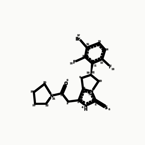 O=C(Cc1[nH]c(=S)n2c1C[C@@H](c1c(F)ccc(Br)c1F)C2)N1CCCC1